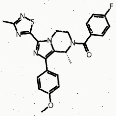 COc1ccc(-c2nc(-c3nc(C)ns3)n3c2[C@@H](C)N(C(=O)c2ccc(F)cc2)CC3)cc1